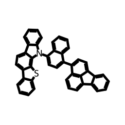 c1ccc2c(c1)-c1cccc3c(-c4ccc(-n5c6ccccc6c6ccc7c8ccccc8sc7c65)c5ccccc45)ccc-2c13